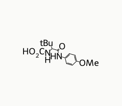 COc1ccc(NC(=O)C(NC(=O)O)C(C)(C)C)cc1